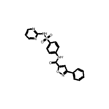 O=C(Nc1ccc(S(=O)(=O)Nc2ncccn2)cc1)c1cc(-c2ccccc2)no1